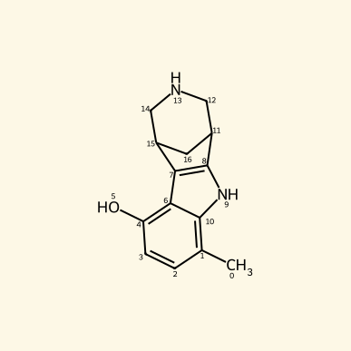 Cc1ccc(O)c2c3c([nH]c12)C1CNCC3C1